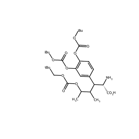 CCC(C)OC(=O)Oc1ccc(C(C(C)C(C)OC(=O)OCC(C)(C)C)[C@H](N)C(=O)O)cc1OC(=O)OC(C)CC